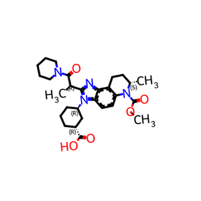 COC(=O)N1c2ccc3c(nc([C@@H](C)C(=O)N4CCCCC4)n3[C@@H]3CCC[C@@H](C(=O)O)C3)c2CC[C@@H]1C